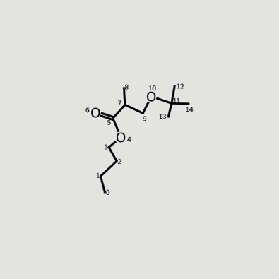 CCCCOC(=O)C(C)COC(C)(C)C